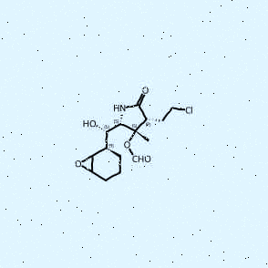 C[C@]1(OC=O)[C@@H](CCCl)C(=O)N[C@H]1[C@@H](O)[C@H]1CCCC2OC21